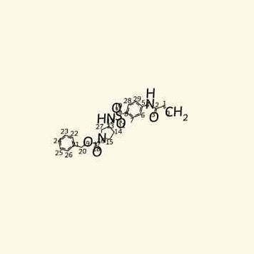 C=CC(=O)Nc1ccc(S(=O)(=O)N[C@@H]2CCN(C(=O)OCc3ccccc3)C2)cc1